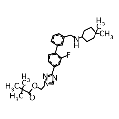 CC1(C)CCC(NCc2cccc(-c3ccc(-c4ncn(COC(=O)C(C)(C)C)n4)cc3F)c2)CC1